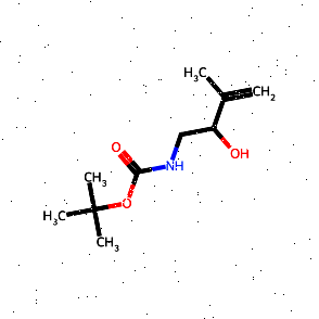 C=C(C)C(O)CNC(=O)OC(C)(C)C